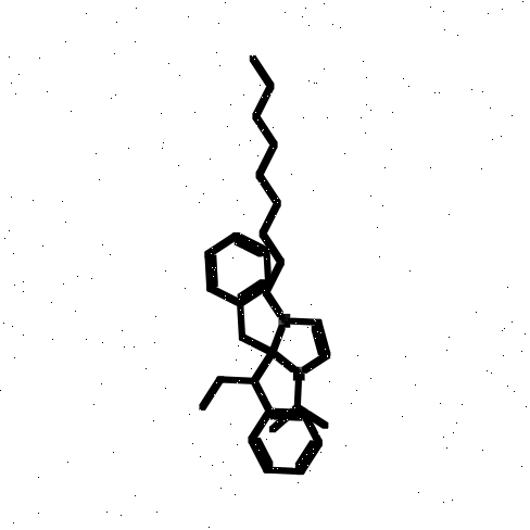 CCCCCCCCCN1C=CN(C(C)C)C1(Cc1ccccc1)C(CC)c1ccccc1